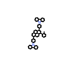 Cc1ccccc1-c1cc(-c2ccc(-n3c4ccccc4c4ccccc43)cc2)c2ccc3ccc(-c4ccc(-n5c6ccccc6c6ccccc65)cc4)c4ccc1c2c34